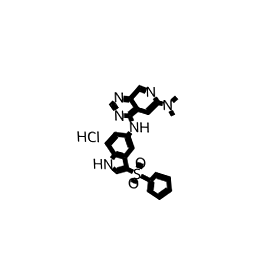 CN(C)c1cc2c(Nc3ccc4[nH]cc(S(=O)(=O)c5ccccc5)c4c3)ncnc2cn1.Cl